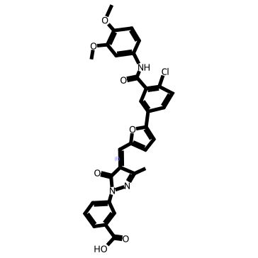 COc1ccc(NC(=O)c2cc(-c3ccc(/C=C4/C(=O)N(c5cccc(C(=O)O)c5)N=C4C)o3)ccc2Cl)cc1OC